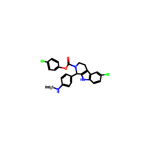 CCOC(=O)Nc1ccc(C2c3[nH]c4ccc(Cl)cc4c3CCN2C(=O)Oc2ccc(Cl)cc2)cc1